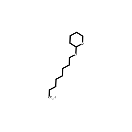 O=C(O)CCCCCCCOC1CCCCO1